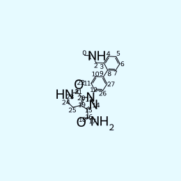 CNCc1ccccc1-c1ccc(-n2nc(C(N)=O)c3c2C(=O)NCC3)cc1